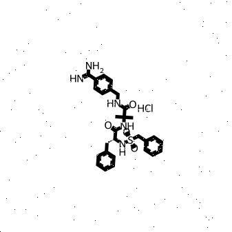 CC(C)(NC(=O)[C@@H](Cc1ccccc1)NS(=O)(=O)Cc1ccccc1)C(=O)NCc1ccc(C(=N)N)cc1.Cl